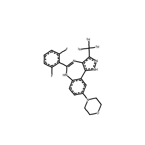 [2H]C([2H])([2H])c1n[nH]c2c1N=C(c1c(F)cccc1F)Nc1ccc(N3CCOCC3)cc1-2